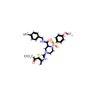 CCCc1ccc(CNC(=O)C2CN(c3nc(C)c(C(=O)C(=O)OCC)s3)CCN2S(=O)(=O)c2ccc(OC(F)(F)F)cc2)cc1